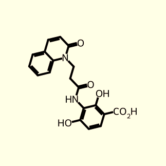 O=C(CCn1c(=O)ccc2ccccc21)Nc1c(O)ccc(C(=O)O)c1O